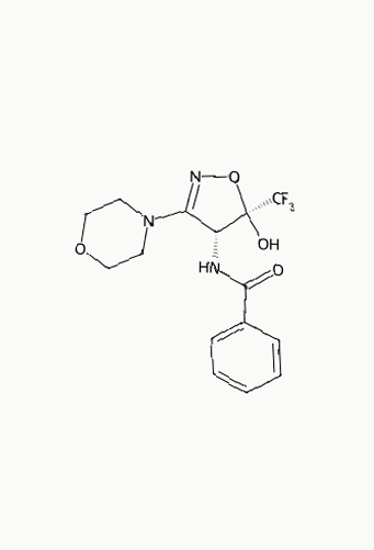 O=C(N[C@@H]1C(N2CCOCC2)=NO[C@]1(O)C(F)(F)F)c1ccccc1